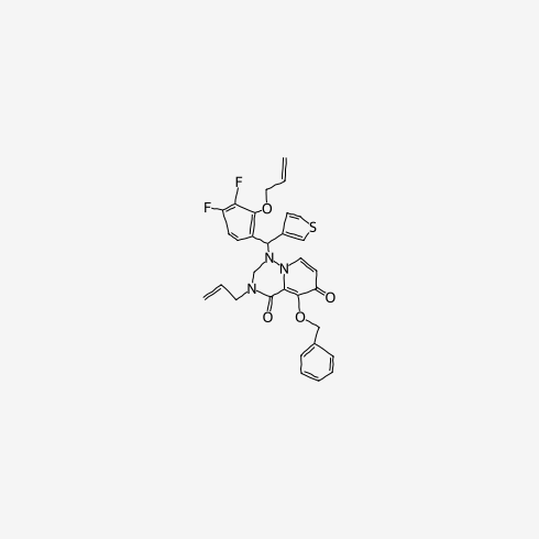 C=CCOc1c(C(c2ccsc2)N2CN(CC=C)C(=O)c3c(OCc4ccccc4)c(=O)ccn32)ccc(F)c1F